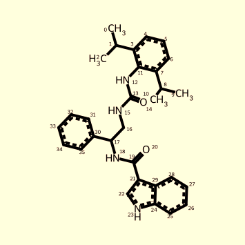 CC(C)c1cccc(C(C)C)c1NC(=O)NCC(NC(=O)c1[c][nH]c2ccccc12)c1ccccc1